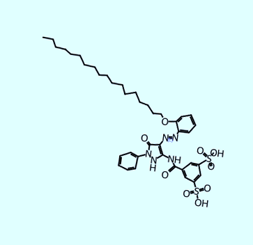 CCCCCCCCCCCCCCCCCCOc1ccccc1/N=N/c1c(NC(=O)c2cc(S(=O)(=O)O)cc(S(=O)(=O)O)c2)[nH]n(-c2ccccc2)c1=O